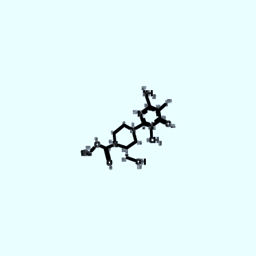 Cn1c(N2CCN(C(=O)OC(C)(C)C)[C@@H](CO)C2)nc(N)c(I)c1=O